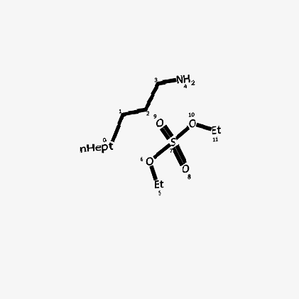 CCCCCCCCCCN.CCOS(=O)(=O)OCC